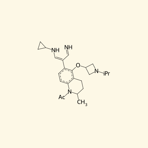 CC(=O)N1c2ccc(/C(C=N)=C/NC3CC3)c(OC3CN(C(C)C)C3)c2CCC1C